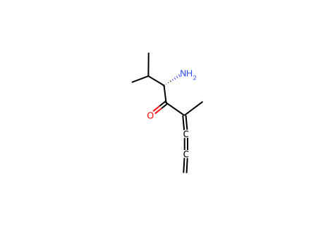 C=C=C=C(C)C(=O)[C@@H](N)C(C)C